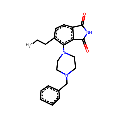 CCCc1ccc2c(c1N1CCN(Cc3ccccc3)CC1)C(=O)NC2=O